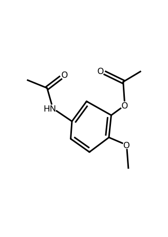 COc1ccc(NC(C)=O)cc1OC(C)=O